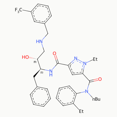 CCCCN(C(=O)c1cc(C(=O)N[C@@H](Cc2ccccc2)[C@H](O)CNCc2cccc(C(F)(F)F)c2)nn1CC)c1ccccc1CC